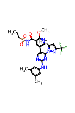 CCCS(=O)(=O)NC(=O)c1cc(-c2cnc(Nc3cc(C)cc(C)c3)nc2-n2nc(C(F)(F)F)cc2C)cnc1OC